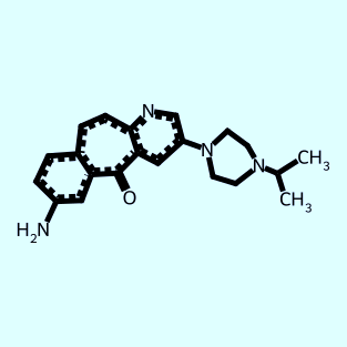 CC(C)N1CCN(c2cnc3ccc4ccc(N)cc4c(=O)c3c2)CC1